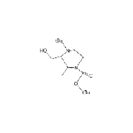 CC1C(CO)N(C(C)(C)C)CCN1C(=O)OC(C)(C)C